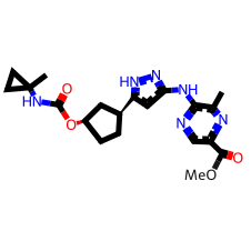 COC(=O)c1cnc(Nc2cc([C@H]3CC[C@@H](OC(=O)NC4(C)CC4)C3)[nH]n2)c(C)n1